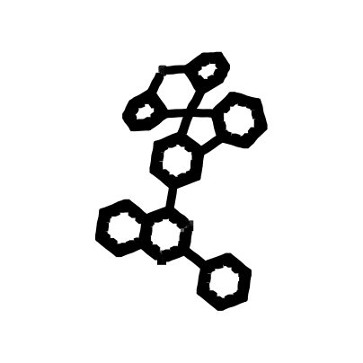 c1ccc(-c2nc(-c3ccc4c(c3)-c3ccccc3C43c4ccccc4Sc4ccccc43)c3ccccc3n2)cc1